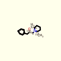 C[C@@H]1CCC[C@H]([13CH3])N1[13CH2][13C](=O)Cc1ccccc1